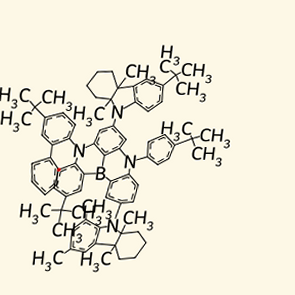 Cc1cc(C)c2c(c1)C1(C)CCCCC1(C)N2c1ccc2c(c1)B1c3cc(C(C)(C)C)ccc3N(c3ccc(C(C)(C)C)cc3-c3ccccc3)c3cc(N4c5ccc(C(C)(C)C)cc5C5(C)CCCCC45C)cc(c31)N2c1ccc(C(C)(C)C)cc1